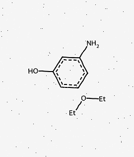 CCOCC.Nc1cccc(O)c1